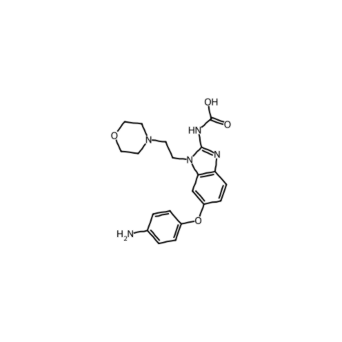 Nc1ccc(Oc2ccc3nc(NC(=O)O)n(CCN4CCOCC4)c3c2)cc1